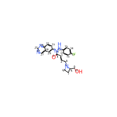 O=C(C=CCN1CCC1CO)N(Nc1ccc(F)cc1)c1ccc2ncncc2c1